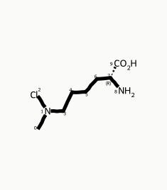 CN(Cl)CCCC[C@@H](N)C(=O)O